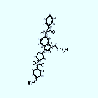 CC(C)OC1=CCC(S(=O)(=O)N2CCC(c3cn(CC(=O)O)c4cc(N[S+]([O-])c5ccccc5)ccc34)C2)C=C1